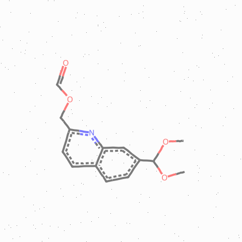 COC(OC)c1ccc2ccc(COC=O)nc2c1